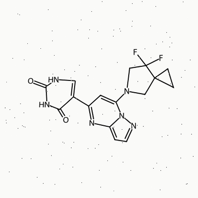 O=c1[nH]cc(-c2cc(N3CC(F)(F)C4(CC4)C3)n3nccc3n2)c(=O)[nH]1